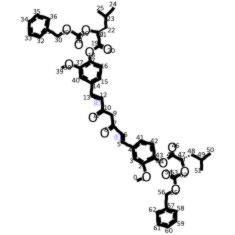 COc1cc(/C=C/C(=O)CC(=O)/C=C/c2ccc(OC(=O)[C@H](CC(C)C)OC(=O)OCc3ccccc3)c(OC)c2)ccc1OC(=O)[C@H](CC(C)C)OC(=O)OCc1ccccc1